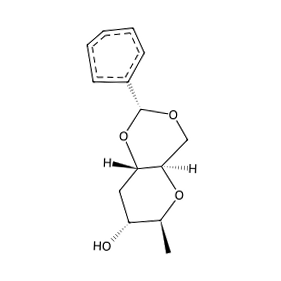 C[C@@H]1O[C@@H]2CO[C@@H](c3ccccc3)O[C@H]2C[C@H]1O